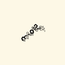 CN(C)C(=O)[C@@H]1CCCN1S(=O)(=O)c1ccc(NC(=O)NCc2cccnc2)cc1